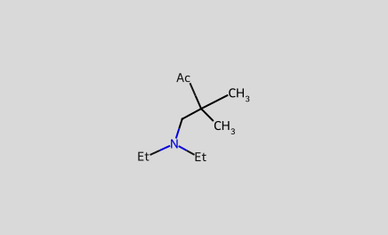 CCN(CC)CC(C)(C)C(C)=O